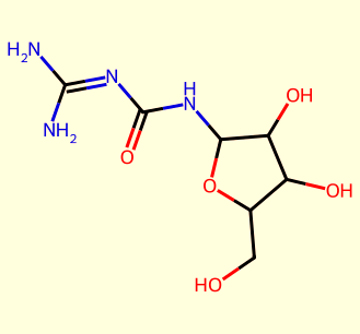 NC(N)=NC(=O)NC1OC(CO)C(O)C1O